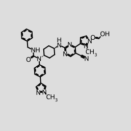 Cn1cc(-c2ccc(N(C(=O)NCc3ccccc3)[C@H]3CC[C@H](Nc4ncc(C#N)c(-c5ccnn5C)n4)CC3)cc2)cn1.O=CO